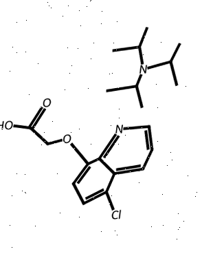 CC(C)N(C(C)C)C(C)C.O=C(O)COc1ccc(Cl)c2cccnc12